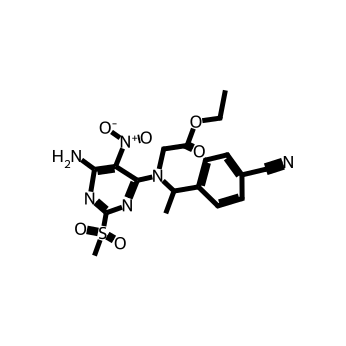 CCOC(=O)CN(c1nc(S(C)(=O)=O)nc(N)c1[N+](=O)[O-])C(C)c1ccc(C#N)cc1